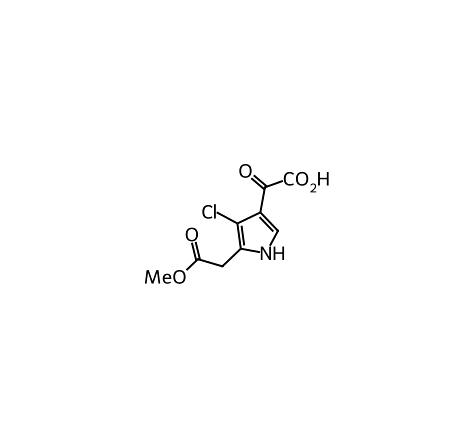 COC(=O)Cc1[nH]cc(C(=O)C(=O)O)c1Cl